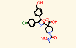 CN(O)C(=O)N1CCC(C(=O)O)(c2nc(-c3ccc(Cl)cc3)c(-c3ccc(CO)cc3)o2)CC1